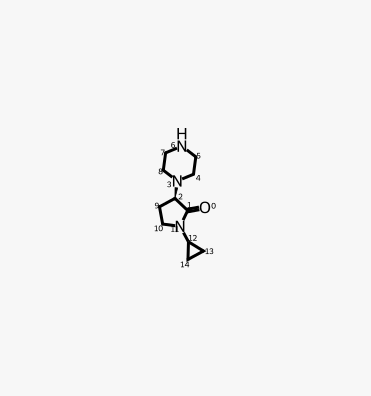 O=C1[C@H](N2CCNCC2)CCN1C1CC1